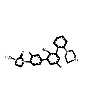 Cn1ccn(-c2ccc(-c3cc(F)cc(-c4ccccc4N4CCNCC4)c3O)cc2Cl)c1=O